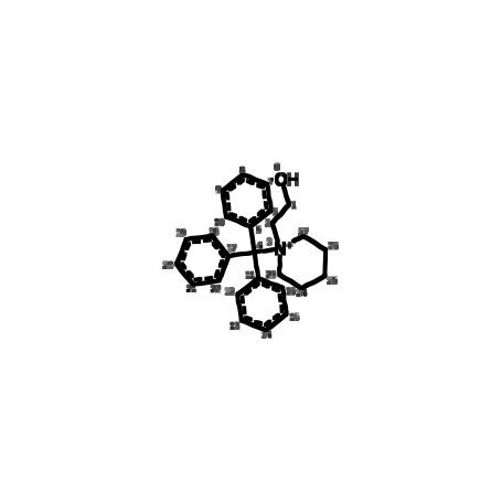 OCC[N+]1(C(c2ccccc2)(c2ccccc2)c2ccccc2)CCCCC1